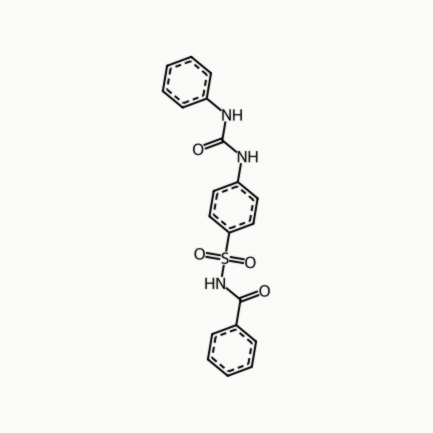 O=C(Nc1ccccc1)Nc1ccc(S(=O)(=O)NC(=O)c2ccccc2)cc1